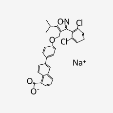 CC(C)c1onc(-c2c(Cl)cccc2Cl)c1COc1ccc(-c2ccc3c(C(=O)[O-])cccc3c2)cc1.[Na+]